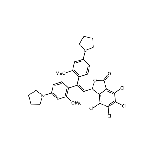 COc1cc(N2CCCC2)ccc1C(=CC1OC(=O)c2c(Cl)c(Cl)c(Cl)c(Cl)c21)c1ccc(N2CCCC2)cc1OC